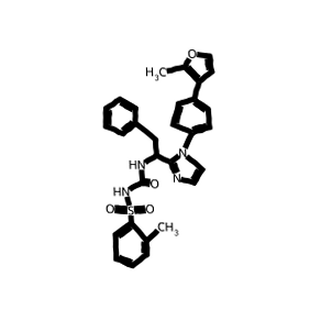 Cc1ccccc1S(=O)(=O)NC(=O)NC(Cc1ccccc1)c1nccn1-c1ccc(-c2ccoc2C)cc1